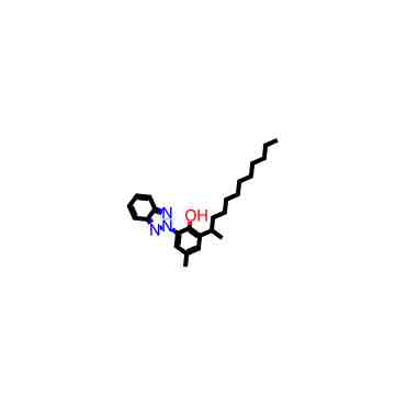 CCCCCCCCCCC(C)c1cc(C)cc(-n2nc3ccccc3n2)c1O